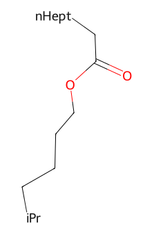 CCCCCCCCC(=O)OCCCCC(C)C